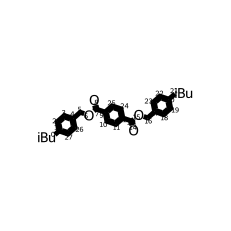 CCC(C)c1ccc(COC(=O)c2ccc(C(=O)OCc3ccc(C(C)CC)cc3)cc2)cc1